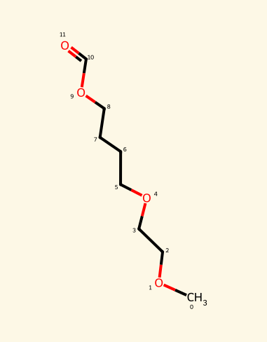 COCCOCCCCOC=O